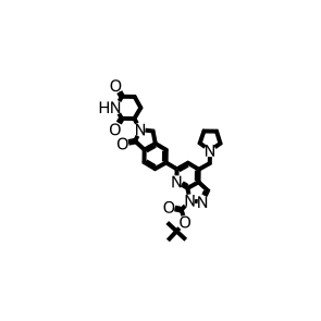 CC(C)(C)OC(=O)n1ncc2c(CN3CCCC3)cc(-c3ccc4c(c3)CN(C3CCC(=O)NC3=O)C4=O)nc21